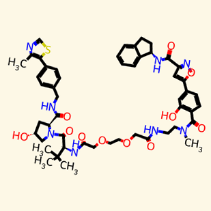 Cc1ncsc1-c1ccc(CNC(=O)[C@@H]2C[C@@H](O)CN2C(=O)[C@@H](NC(=O)COCCOCC(=O)NCCN(C)C(=O)c2ccc(-c3cc(C(=O)N[C@@H]4CCc5ccccc54)no3)cc2O)C(C)(C)C)cc1